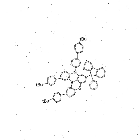 CC(C)(C)c1ccc(-c2ccc(N3c4ccc(-c5ccc(C(C)(C)C)cc5)cc4B4c5cc(-c6ccc(C(C)(C)C)cc6)ccc5Sc5cc(C6(c7ccccc7)c7ccccc7-c7ccccc76)cc3c54)cc2)cc1